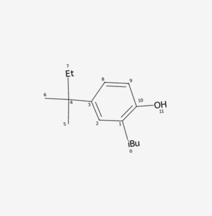 CCC(C)c1cc(C(C)(C)CC)ccc1O